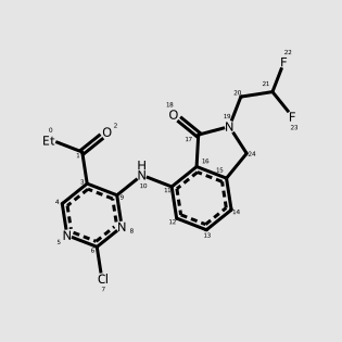 CCC(=O)c1cnc(Cl)nc1Nc1cccc2c1C(=O)N(CC(F)F)C2